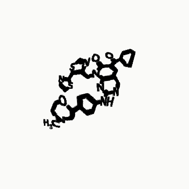 CN1CCOC(c2ccc(Nc3ncc4cc(C(=O)c5ccccc5)c(=O)n(Cc5ncsc5-c5nccs5)c4n3)cc2)C1